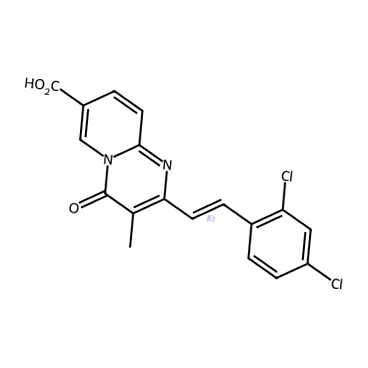 Cc1c(/C=C/c2ccc(Cl)cc2Cl)nc2ccc(C(=O)O)cn2c1=O